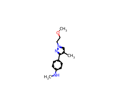 CNc1ccc(-c2nn(CCOC)cc2C)cc1